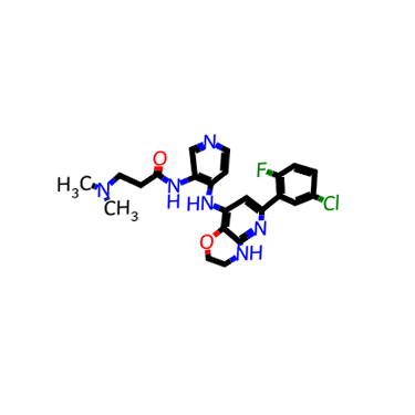 CN(C)CCC(=O)Nc1cnccc1Nc1cc(-c2cc(Cl)ccc2F)nc2c1OCCN2